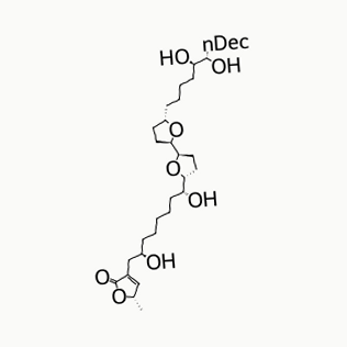 CCCCCCCCCC[C@H](O)[C@H](O)CCCC[C@H]1CC[C@H]([C@H]2CC[C@H]([C@H](O)CCCCC[C@@H](O)CC3=C[C@H](C)OC3=O)O2)O1